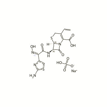 C=CC1=C(C(=O)O)N2C(=O)[C@@H](NC(=O)/C(=N\O)c3csc(N)n3)[C@H]2SC1.O=S(=O)([O-])O.[Na+]